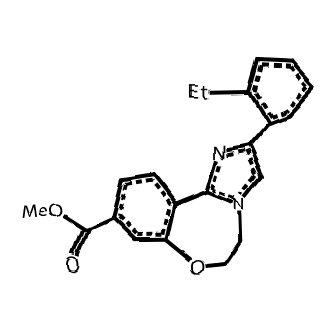 CCc1ccccc1-c1cn2c(n1)-c1ccc(C(=O)OC)cc1OCC2